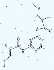 CCC=C(C)C(=O)Oc1cccc(OC(=O)C(C)=CCC)c1